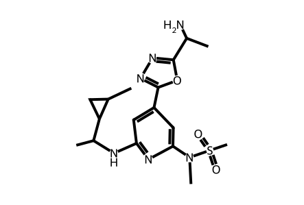 CC(N)c1nnc(-c2cc(NC(C)C3CC3C)nc(N(C)S(C)(=O)=O)c2)o1